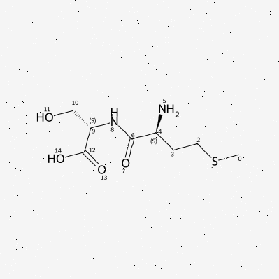 CSCC[C@H](N)C(=O)N[C@@H](CO)C(=O)O